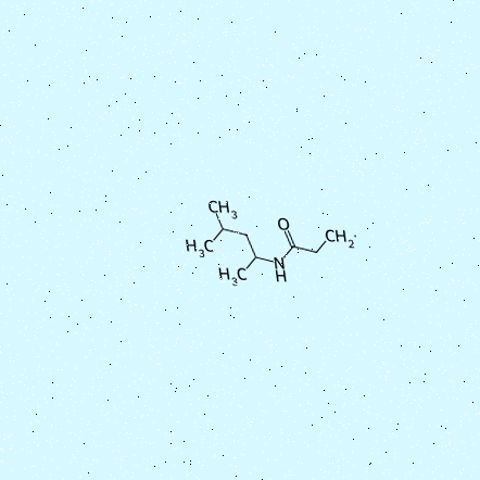 [CH2]CC(=O)NC(C)CC(C)C